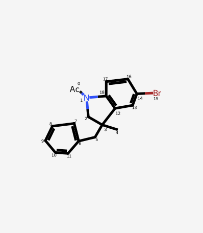 CC(=O)N1CC(C)(Cc2ccccc2)c2cc(Br)ccc21